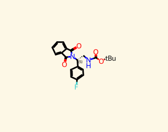 CC(C)(C)OC(=O)NC[C@H](c1ccc(F)cc1)N1C(=O)c2ccccc2C1=O